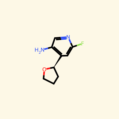 Nc1cnc(F)cc1[C@H]1CCCO1